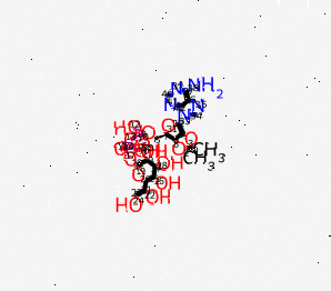 CC1(C)OC2C(O1)[C@@H](COP(=O)(O)OP(=O)(O)O[C@@H]1OC([C@H](O)CO)[C@@H](O)C(O)C1O)O[C@H]2n1cnc2c(N)ncnc21